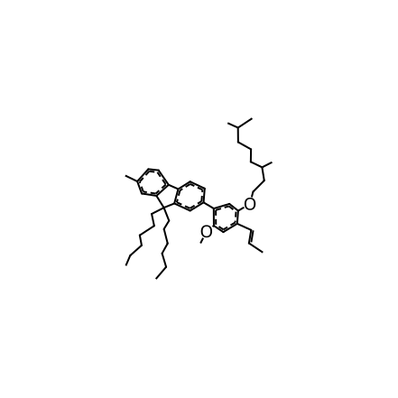 CC=Cc1cc(OC)c(-c2ccc3c(c2)C(CCCCCC)(CCCCCC)c2cc(C)ccc2-3)cc1OCCC(C)CCCC(C)C